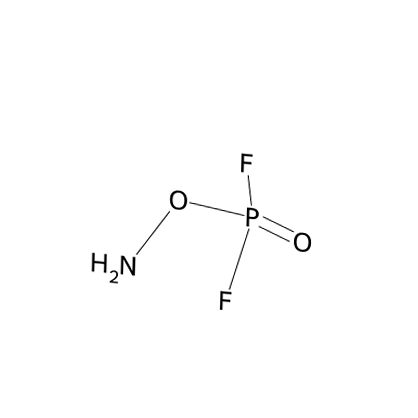 NOP(=O)(F)F